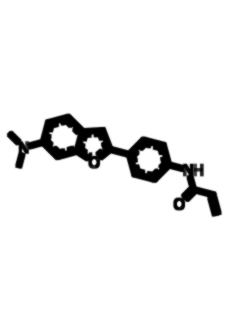 C=CC(=O)Nc1ccc(-c2cc3ccc(N(C)C)cc3o2)cc1